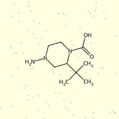 CC(C)(C)C1CN(N)CCN1C(=O)O